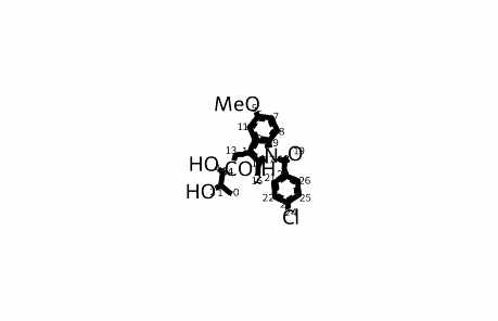 CC(O)CO.COc1ccc2c(c1)c(CC(=O)O)c(C)n2C(=O)c1ccc(Cl)cc1